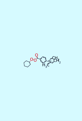 C=C[Si](C)(C=C)c1ccc(C(=O)OO[C]2CCCCC2)cc1